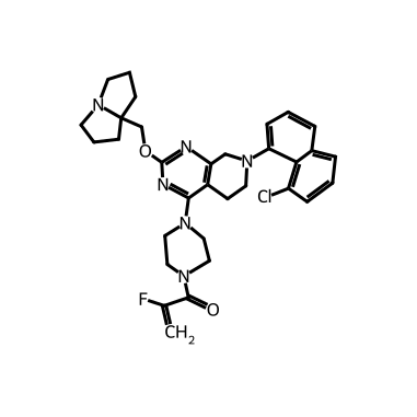 C=C(F)C(=O)N1CCN(c2nc(OCC34CCCN3CCC4)nc3c2CCN(c2cccc4cccc(Cl)c24)C3)CC1